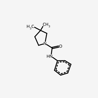 CC1(C)CCN(C(=O)Nc2ccccc2)C1